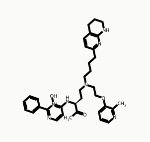 CC(=O)[C@H](CCN(CCCCc1ccc2c(n1)NCCC2)CCOc1cccnc1C)Nc1ccnc(-c2ccccc2)[n+]1O